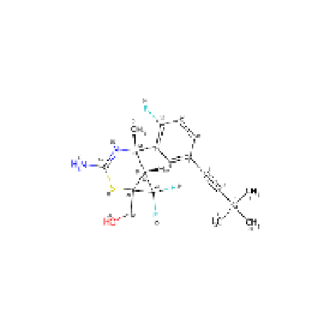 C[C@]1(c2cc(C#C[Si](C)(C)C)ccc2F)N=C(N)SC2(CO)[C@H]1C2(F)F